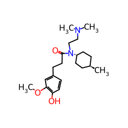 COc1cc(CCC(=O)N(CCN(C)C)[C@H]2CC[C@H](C)CC2)ccc1O